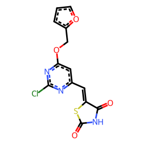 O=C1NC(=O)C(=Cc2cc(OCc3ccco3)nc(Cl)n2)S1